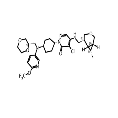 C[C@H]1[C@H]2COC[C@@H](CNc3cnn([C@H]4CC[C@H](N(C[C@H]5COCCO5)c5ccc(OC(F)(F)F)nc5)CC4)c(=O)c3Cl)[C@@H]12